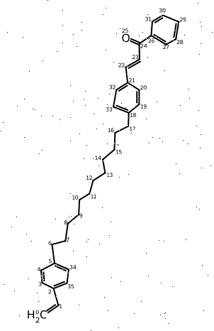 C=Cc1ccc(CCCCCCCCCCCCc2ccc(/C=C/C(=O)c3ccccc3)cc2)cc1